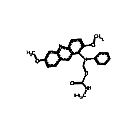 CNC(=O)OCN(c1ccccc1)c1c(OC)ccc2nc3cc(OC)ccc3cc12